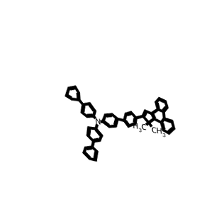 CC1(C)C(c2ccc(-c3ccc(N(c4ccc(-c5ccccc5)cc4)c4ccc(-c5ccccc5)cc4)cc3)cc2)=Cc2c1c1ccccc1c1ccccc21